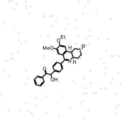 CCOc1cc2c(cc1OC)C(c1ccc(C(O)C(=O)c3ccccc3)cc1)=N[C@@H]1CC[S@@+]([O-])C[C@H]21